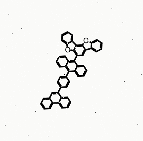 c1ccc2c(c1)cc(-c1ccc(-c3c4ccccc4c(-c4cc5c6ccccc6oc5c5c4oc4ccccc45)c4ccccc34)cc1)c1ccccc12